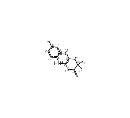 C=C1SC(Nc2ccc(C)cc2)=C(C=O)CC1(C)C